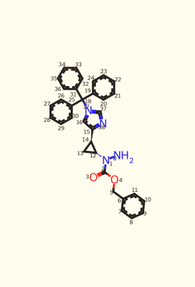 NN(C(=O)OCc1ccccc1)[C@@H]1C[C@H]1c1cn(C(c2ccccc2)(c2ccccc2)c2ccccc2)cn1